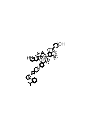 CC(C)c1ccccc1[C@H]1CCCN1C1CC2(CCN(c3ccc(C(=O)NS(=O)(=O)c4cc5c(c([N+](=O)[O-])c4)N[C@@H]([C@H]4CC[C@](C)(O)CC4)CO5)c(Oc4cc5cc[nH]c5nc4S(=O)(=O)C4CC4)c3)CC2)C1